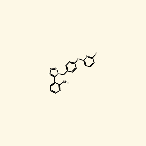 Nc1ncccc1-c1nnnn1Cc1ccc(Oc2cccc(F)n2)cc1